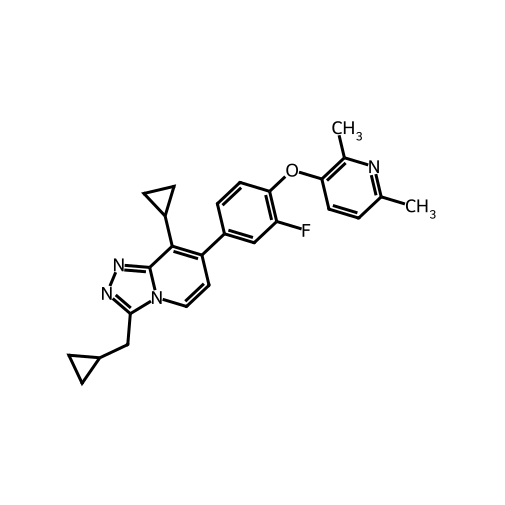 Cc1ccc(Oc2ccc(-c3ccn4c(CC5CC5)nnc4c3C3CC3)cc2F)c(C)n1